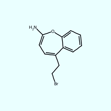 NC1=CC=C(CCBr)c2ccccc2O1